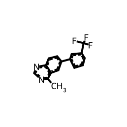 Cc1ncnc2ccc(-c3cccc(C(F)(F)F)c3)cc12